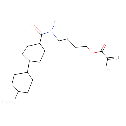 C=C(C)C(=O)OCCCCN(C)C(=O)C1CCC(C2CCC(C(=O)O)CC2)CC1